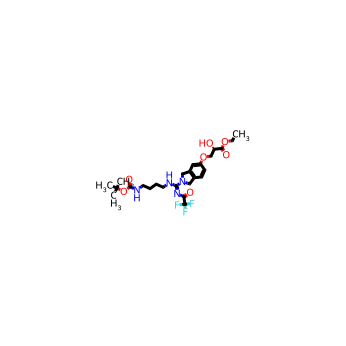 CCOC(=O)[C@H](O)COc1ccc2c(c1)CN(/C(=N\C(=O)C(F)(F)F)NCCCCNC(=O)OC(C)(C)C)C2